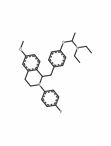 CCN(CC)C(C)Oc1ccc(CC2c3ccc(OC)cc3CCN2c2ccc(F)cc2)cc1